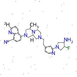 [2H]c1ccc2c(N3C[C@@H]4CN(CCc5ccnc(N6C[C@@H](N)[C@@H](F)C6)c5)CCN4[C@H](C)C3)ccc(C#N)c2n1